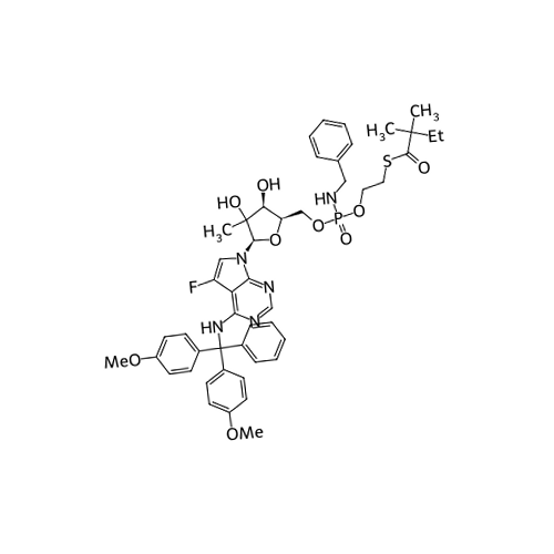 CCC(C)(C)C(=O)SCCOP(=O)(NCc1ccccc1)OC[C@H]1O[C@@H](n2cc(F)c3c(NC(c4ccccc4)(c4ccc(OC)cc4)c4ccc(OC)cc4)ncnc32)C(C)(O)[C@H]1O